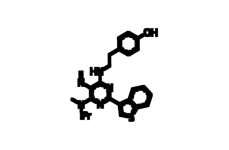 C=Nc1c(NCCc2ccc(O)cc2)nc(-c2csc3ccccc23)nc1N(C)C(C)C